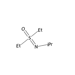 CCS(=O)(CC)=NC(C)C